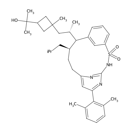 Cc1cccc(C)c1-c1cc2nc(n1)NS(=O)(=O)c1cccc(c1)C([C@@H](C)CC1(C)CC(C(C)(C)O)C1)[C@H](CC(C)C)CC2